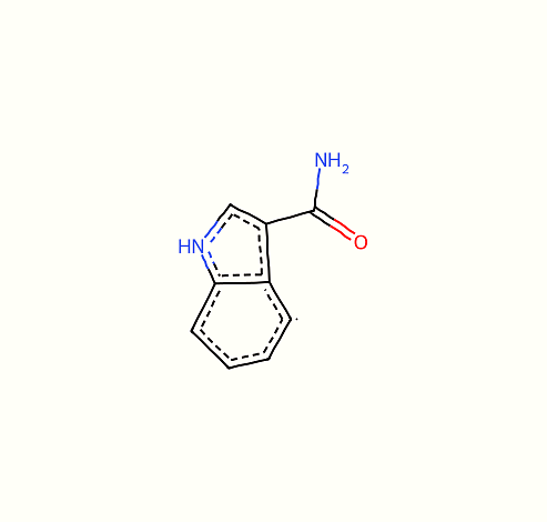 NC(=O)c1c[nH]c2ccc[c]c12